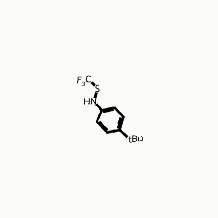 CC(C)(C)c1ccc(NSC(F)(F)F)cc1